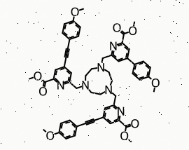 COC(=O)c1cc(C#Cc2ccc(OC)cc2)cc(CN2CCN(Cc3cc(C#Cc4ccc(OC)cc4)cc(C(=O)OC)n3)CCN(Cc3cc(-c4ccc(OC)cc4)cc(C(=O)OC)n3)CC2)n1